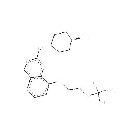 CC(C)(C)OCCOc1cccc2cnc(N[C@H]3CC[C@H](O)CC3)nc12